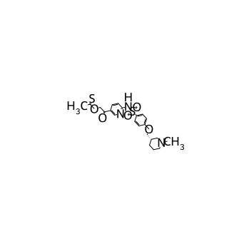 CC(=S)OCC(=O)c1ccc(NS(=O)(=O)c2ccc(OC[C@H]3CCCN(C)C3)cc2)nc1